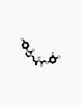 C=C(CCN1CCN(c2ccc(Cl)cc2)C1=O)NC(=O)COc1ccc(Cl)c(F)c1